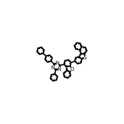 c1ccc(-c2ccc(-c3nc(-c4ccccc4)nc(-c4ccc(-c5ccc6sc7ccc8ccccc8c7c6c5)c5oc6ccccc6c45)n3)cc2)cc1